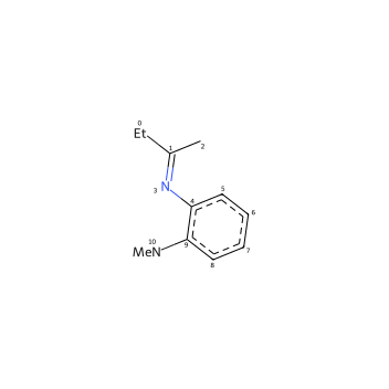 CC/C(C)=N/c1ccccc1NC